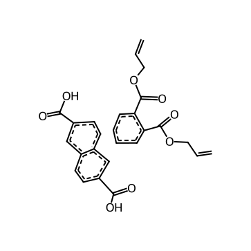 C=CCOC(=O)c1ccccc1C(=O)OCC=C.O=C(O)c1ccc2cc(C(=O)O)ccc2c1